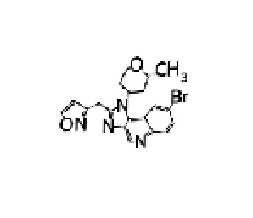 C[C@@H]1C[C@H](n2c(Cc3ccon3)nc3cnc4ccc(Br)cc4c32)CCO1